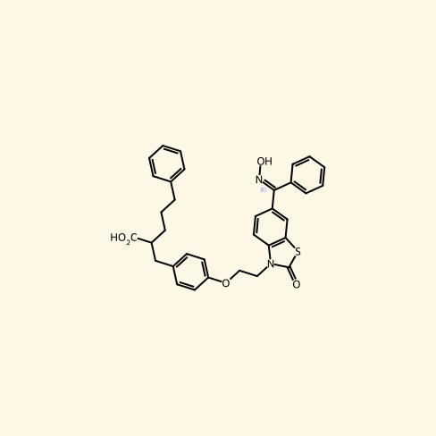 O=C(O)C(CCCc1ccccc1)Cc1ccc(OCCn2c(=O)sc3cc(/C(=N/O)c4ccccc4)ccc32)cc1